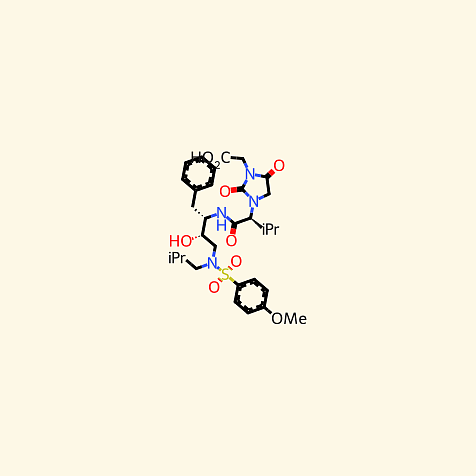 COc1ccc(S(=O)(=O)N(CC(C)C)C[C@H](O)[C@H](Cc2ccccc2)NC(=O)[C@H](C(C)C)N2CC(=O)N(CC(=O)O)C2=O)cc1